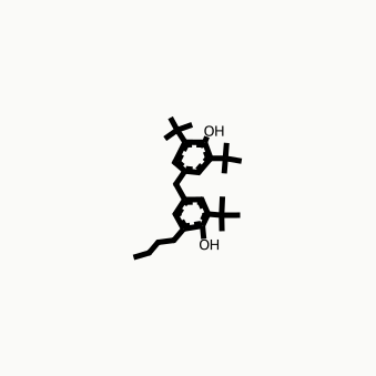 CCCCc1cc(Cc2cc(C(C)(C)C)c(O)c(C(C)(C)C)c2)cc(C(C)(C)C)c1O